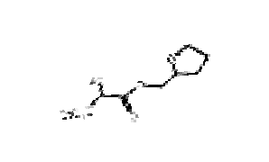 CCOC(=O)C(CC)C(=O)OCC1CCCO1